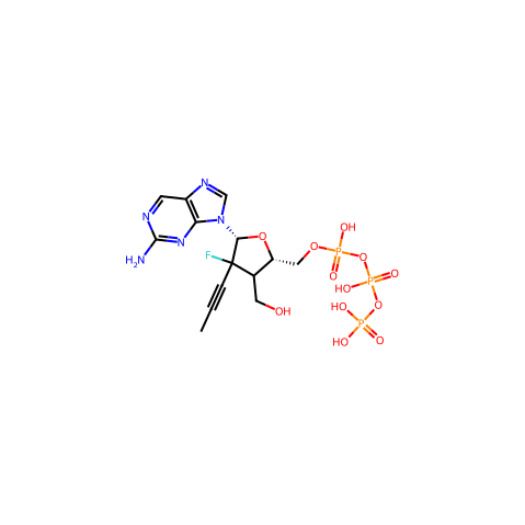 CC#CC1(F)C(CO)[C@@H](COP(=O)(O)OP(=O)(O)OP(=O)(O)O)O[C@H]1n1cnc2cnc(N)nc21